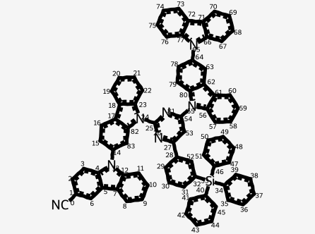 N#Cc1ccc2c(c1)c1ccccc1n2-c1ccc2c3ccccc3n(-c3nc(-c4cccc([Si](c5ccccc5)(c5ccccc5)c5ccccc5)c4)cc(-n4c5ccccc5c5cc(-n6c7ccccc7c7ccccc76)ccc54)n3)c2c1